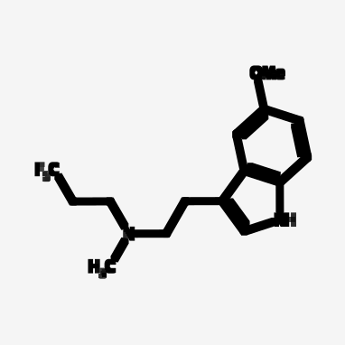 COc1ccc2[nH]cc(CCN(C)CCC(F)(F)F)c2c1